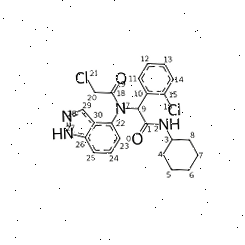 O=C(NC1CCCCC1)C(c1ccccc1Cl)N(C(=O)CCl)c1cccc2[nH]ncc12